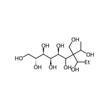 CCC(O)C(CO)(C(C)O)C(O)[C@H](O)[C@@H](O)[C@H](O)[C@H](O)CO